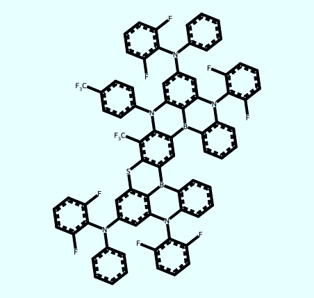 Fc1cccc(F)c1N(c1ccccc1)c1cc2c3c(c1)N(c1c(F)cccc1F)c1ccccc1B3c1cc3c(c(C(F)(F)F)c1S2)N(c1ccc(C(F)(F)F)cc1)c1cc(N(c2ccccc2)c2c(F)cccc2F)cc2c1B3c1ccccc1N2c1c(F)cccc1F